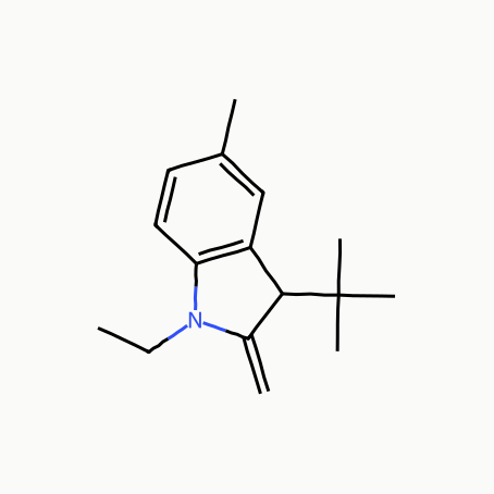 C=C1C(C(C)(C)C)c2cc(C)ccc2N1CC